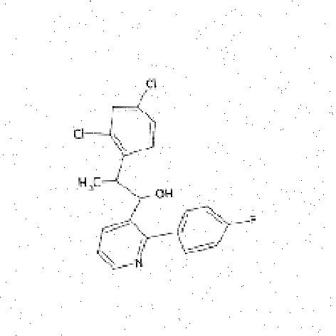 CC(c1ccc(Cl)cc1Cl)C(O)c1cccnc1-c1ccc(F)cc1